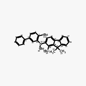 CC(C)(C)c1ccc(-c2ccccc2)cc1N(c1ccc2c(c1C(C)(C)C)C(C)(C)c1ccccc1-2)C(C)(C)C